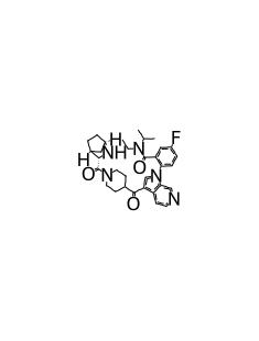 CCN(C(=O)c1cc(F)ccc1-n1cc(C(=O)C2CCN(C(=O)[C@H]3N[C@@H]4CC[C@H]3C4)CC2)c2ccncc21)C(C)C